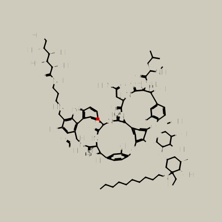 CCCCCCCCCCNC1(CC)C[C@H](O[C@@H]2C(O)C(O)[C@@H](CO)O[C@H]2Oc2c3cc4cc2Oc2ccc(cc2Cl)[C@@H](O)[C@@H](NC(=O)[C@@H](CC(C)C)NC)C(=O)NC(CC(N)=O)C(=O)N[C@H]4C(=O)N[C@@H]2C(=O)N[C@H](C(=O)N[C@H](C(=O)O)c4cc(O)c(CNCCCNC(=O)[C@H](O)[C@@H](O)[C@H](O)[C@H](O)CO)c(O)c4-c4cc2ccc4O)[C@H](O)c2ccc(c(Cl)c2)O3)C[C@@H](C)[C@H]1O